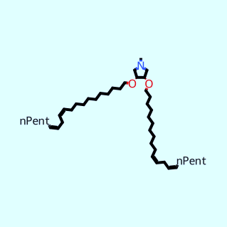 CCCCC/C=C\C/C=C\CCCCCCCCCCO[C@@H]1CN(C)C[C@H]1OCCCCCCCCCC/C=C\C/C=C\CCCCC